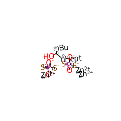 CCCCCCCC(O)CCCC.[O-]P([O-])(=S)[S-].[O-]P([O-])(=S)[S-].[Zn+2].[Zn+2].[Zn+2]